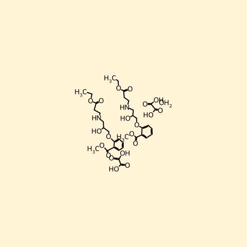 CCOC(=O)CCNCC(O)COc1ccccc1C(=O)OC.CCOC(=O)CCNCC(O)COc1ccccc1C(=O)OC.O.O=C(O)C(=O)O.O=C(O)C(=O)O